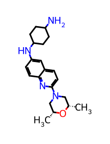 C[C@@H]1CN(c2ccc3cc(NC4CCC(N)CC4)ccc3n2)C[C@H](C)O1